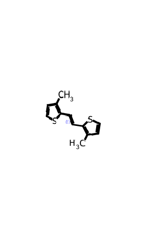 Cc1ccsc1/C=C/c1sccc1C